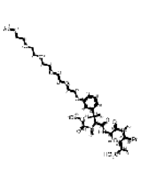 CC(=O)SCCOCCOCCOCCOCCOc1cccc(C(C)(C)C(C(=O)NC(C(=O)N(C)C(C=C(C)C(=O)O)C(C)C)C(C)(C)C)N(C)C(=O)OC(C)(C)C)c1